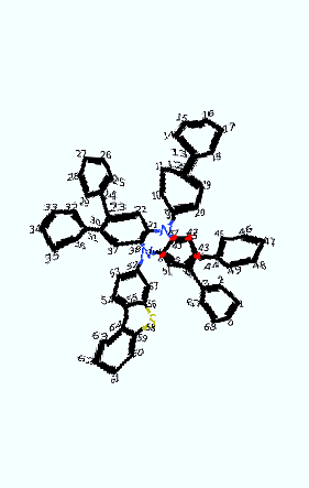 c1ccc(-c2ccc(N(c3ccc(-c4ccccc4)cc3)c3cc(-c4ccccc4)c(-c4ccccc4)cc3N(c3ccc(-c4ccccc4)cc3)c3ccc4c(c3)sc3ccccc34)cc2)cc1